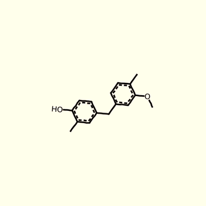 COc1cc(Cc2ccc(O)c(C)c2)ccc1C